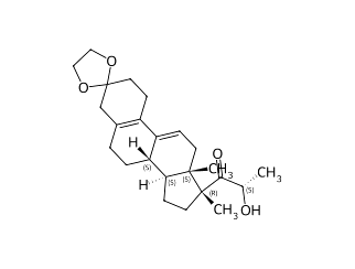 C[C@H](O)C(=O)[C@]1(C)CC[C@H]2[C@@H]3CCC4=C(CCC5(C4)OCCO5)C3=CC[C@@]21C